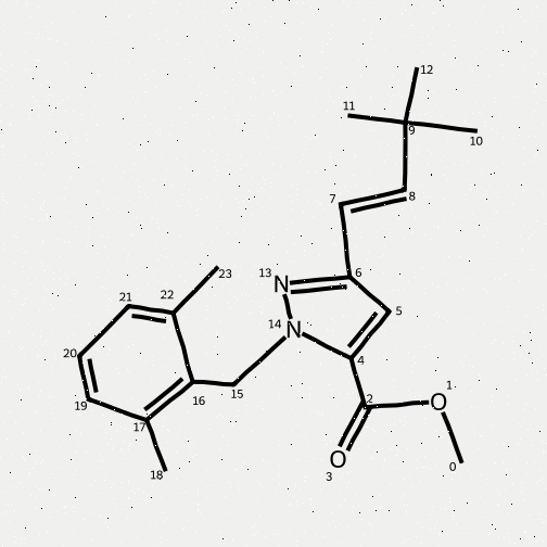 COC(=O)c1cc(C=CC(C)(C)C)nn1Cc1c(C)cccc1C